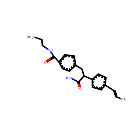 C/C=C/c1ccc(C(Cc2ccc(C(=O)NCCS(=O)(=O)O)cc2)C(N)=O)cc1